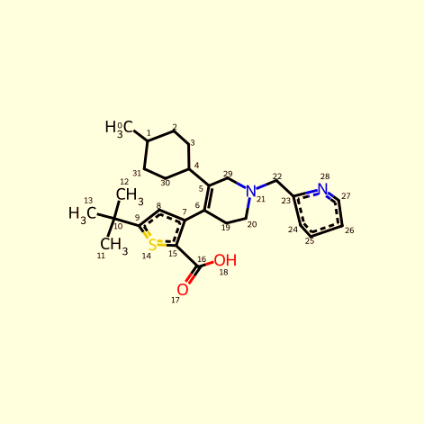 CC1CCC(C2=C(c3cc(C(C)(C)C)sc3C(=O)O)CCN(Cc3ccccn3)C2)CC1